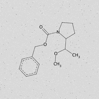 COC(C)C1CCCN1C(=O)OCc1ccccc1